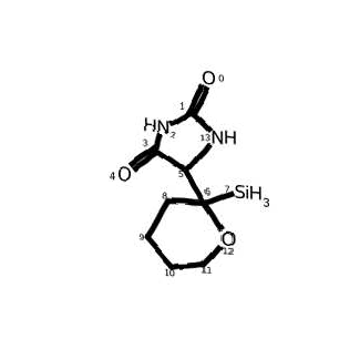 O=C1NC(=O)C(C2([SiH3])CCCCO2)N1